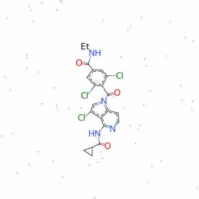 CCNC(=O)c1cc(Cl)c(C(=O)n2cc(Cl)c3c(NC(=O)C4CC4)nccc32)c(Cl)c1